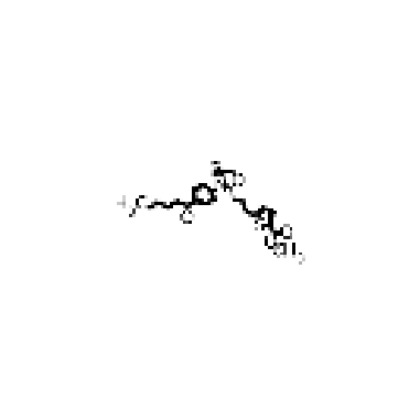 CCCCCC(=O)c1ccc(N2C(=O)CO[C@@H]2CCCc2ccc(C(=O)OC)s2)cc1